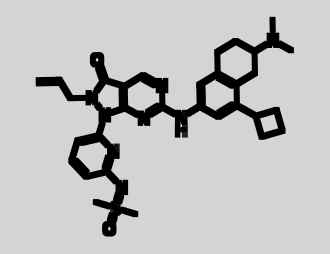 C=CCn1c(=O)c2cnc(Nc3cc4c(c(C5CCC5)c3)CC(N(C)C)CC4)nc2n1-c1cccc(N=S(C)(C)=O)n1